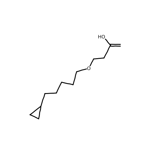 C=C(O)CCOCCCCCC1CC1